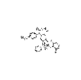 Cc1ccc(C(C(N)=O)C2CCC(CN(Cc3c(F)cccc3F)S(=O)(=O)c3ccccc3)CC2)cc1